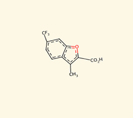 Cc1c(C(=O)O)oc2cc(C(F)(F)F)ccc12